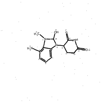 CN1c2c(N)cccc2N(C2CCC(=O)NC2=O)C1O